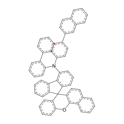 c1ccc(-c2ccccc2N(c2ccc(-c3ccc4ccccc4c3)cc2)c2cccc3c2-c2ccccc2C32c3ccccc3Oc3c2ccc2ccccc32)cc1